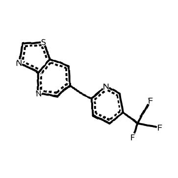 FC(F)(F)c1ccc(-c2cnc3ncsc3c2)nc1